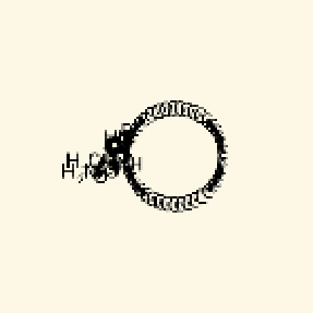 CCNC1(c2ccccc2)CCCCCCCCCCCCCCCCCCCCCCCCCCCCCCCCCCCCCCC2(CCN(CC(C)(C)C(N)=O)C(=O)N2)C1